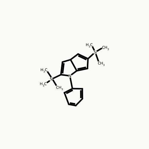 C[Si](C)(C)C1=CC2C=C([Si](C)(C)C)N(c3ccccc3)C2=C1